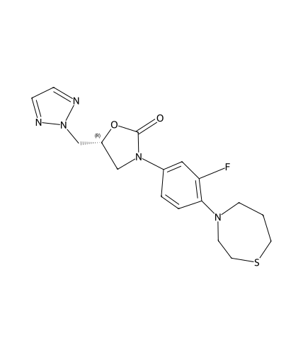 O=C1O[C@@H](Cn2nccn2)CN1c1ccc(N2CCCSCC2)c(F)c1